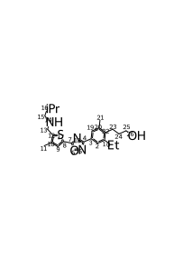 CCc1cc(-c2noc(-c3cc(C)c(CNCC(C)C)s3)n2)cc(C)c1CCCO